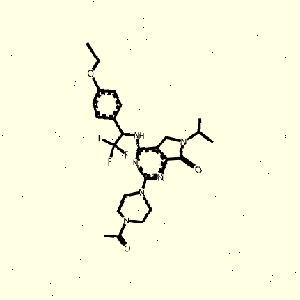 CCOc1ccc(C(Nc2nc(N3CCN(C(C)=O)CC3)nc3c2CN(C(C)C)C3=O)C(F)(F)F)cc1